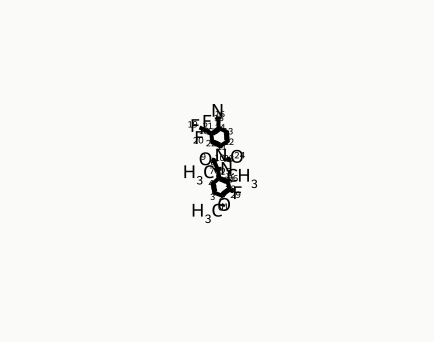 COc1ccc(C2(C)C(=O)N(c3ccc(C#N)c(C(F)(F)F)c3)C(=O)N2C)cc1F